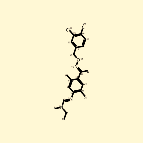 CCN(C)C=Nc1cc(C)c(C(C)=NOCc2ccc(Cl)c(Cl)c2)cc1C